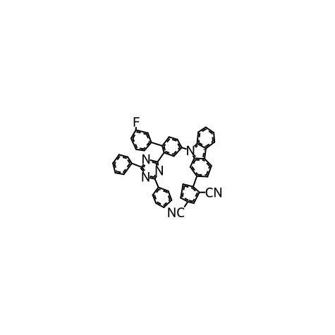 N#Cc1ccc(-c2ccc3c4ccccc4n(-c4ccc(-c5cccc(F)c5)c(-c5nc(-c6ccccc6)nc(-c6ccccc6)n5)c4)c3c2)c(C#N)c1